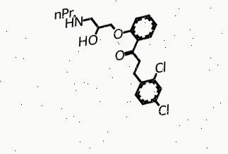 CCCNCC(O)COc1ccccc1C(=O)CCc1ccc(Cl)cc1Cl